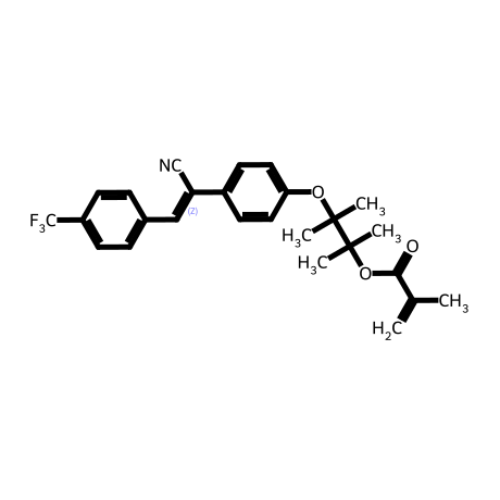 C=C(C)C(=O)OC(C)(C)C(C)(C)Oc1ccc(/C(C#N)=C/c2ccc(C(F)(F)F)cc2)cc1